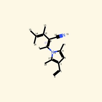 C=Cc1cc(C)n(/C(C)=C(\C#N)C(C)=C(C)C)c1C